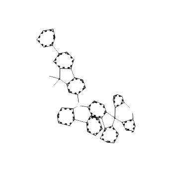 CC1(C)c2cc(-c3ccccc3)ccc2-c2ccc(N(c3ccc4c(c3)-c3ccccc3C43c4ccccc4Oc4ccccc43)c3ccccc3-c3ccccc3)cc21